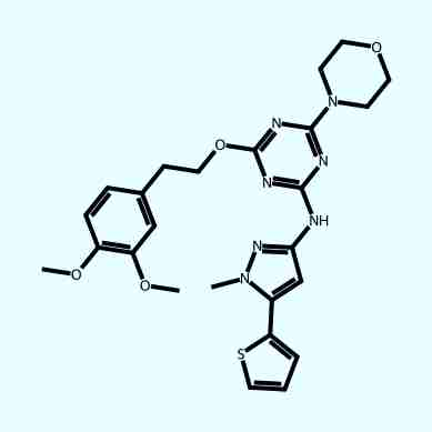 COc1ccc(CCOc2nc(Nc3cc(-c4cccs4)n(C)n3)nc(N3CCOCC3)n2)cc1OC